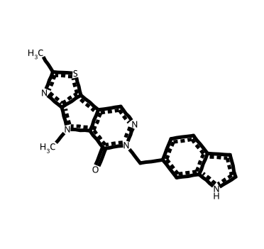 Cc1nc2c(s1)c1cnn(Cc3ccc4cc[nH]c4c3)c(=O)c1n2C